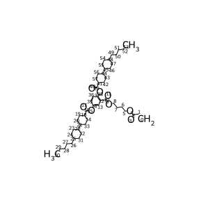 C=CC(=O)OCCCCOC(=O)c1cc(OC(=O)C2CCC(C3CCC(CCCCC)CC3)CC2)ccc1OC(=O)C1CCC(C2CCC(CCCCC)CC2)CC1